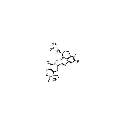 CC[C@@]1(O)C(=O)OCc2c1cc1n(c2=O)Cc2c-1nc1cc(F)c(C)c3c1c2[C@@H](NCC(N)=O)CC3